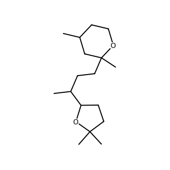 CC1CCOC(C)(CCC(C)C2CCC(C)(C)O2)C1